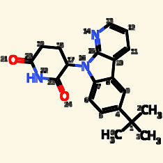 CC(C)(C)c1ccc2c(c1)c1cccnc1n2C1CCC(=O)NC1=O